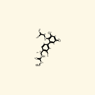 C[C@@H](NC(=O)OC(C)(C)C)c1ccc(-c2cc(Cl)cc(Cl)c2OCC(F)F)cc1F